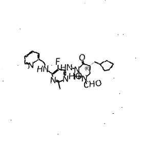 Cc1nc(NCc2ccccn2)c(F)c(NNC(=O)[C@H](CC2CCCC2)CN(O)C=O)n1